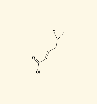 O=C(O)C=CCC1CO1